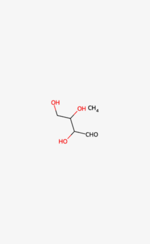 C.O=CC(O)C(O)CO